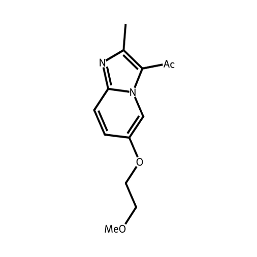 COCCOc1ccc2nc(C)c(C(C)=O)n2c1